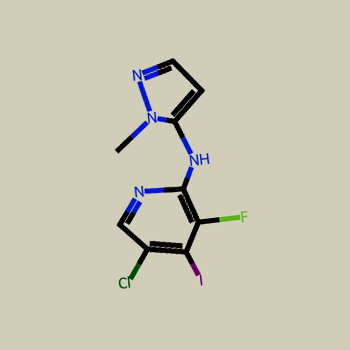 Cn1nccc1Nc1ncc(Cl)c(I)c1F